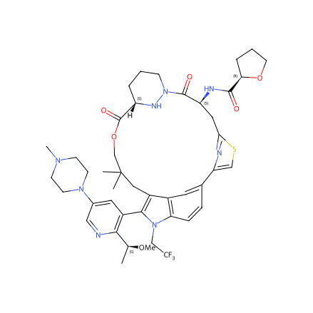 CO[C@@H](C)c1ncc(N2CCN(C)CC2)cc1-c1c2c3cc(ccc3n1CC(F)(F)F)-c1csc(n1)C[C@H](NC(=O)[C@H]1CCCO1)C(=O)N1CCC[C@H](N1)C(=O)OCC(C)(C)C2